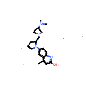 Cc1cc(O)nc2ccc(N3CCCC3CN3CCC(N(C)C)C3)cc12